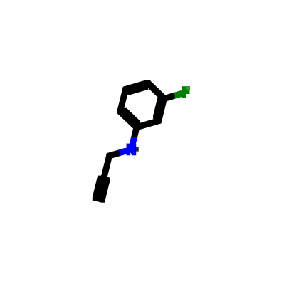 C#CC[N]c1cccc(F)c1